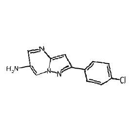 Nc1cnc2cc(-c3ccc(Cl)cc3)nn2c1